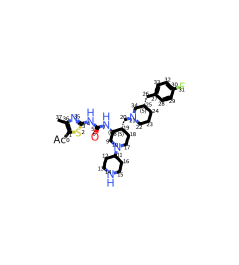 CC(=O)c1sc(NC(=O)N[C@H]2CN(C3CCNCC3)CC[C@H]2CN2CCC[C@@H](Cc3ccc(F)cc3)C2)nc1C